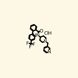 Cl.O=C(NC1CCN(Cc2cccnc2)CC1)c1ccccc1-c1ccc(C(F)(F)F)cc1